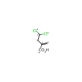 C=C(CC(Cl)Cl)C(=O)O